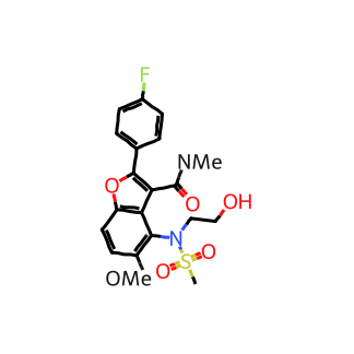 CNC(=O)c1c(-c2ccc(F)cc2)oc2ccc(OC)c(N(CCO)S(C)(=O)=O)c12